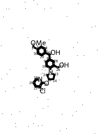 COCc1ccc(C(O)c2ccc(N3CC[C@H](Oc4ncccc4Cl)C3)c(CO)c2)cc1